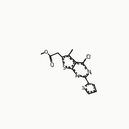 COC(=O)Cc1sc2nc(-c3cccs3)nc(Cl)c2c1C